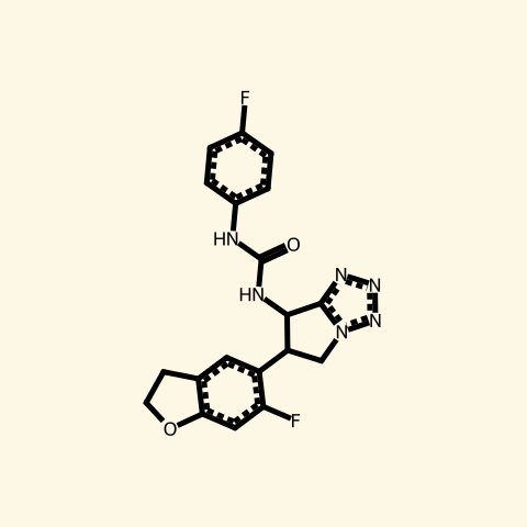 O=C(Nc1ccc(F)cc1)NC1c2nnnn2CC1c1cc2c(cc1F)OCC2